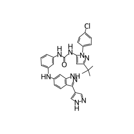 CC(C)(C)c1cc(NC(=O)Nc2cccc(Nc3ccc4c(-c5cn[nH]c5)n[nH]c4c3)c2)n(-c2ccc(Cl)cc2)n1